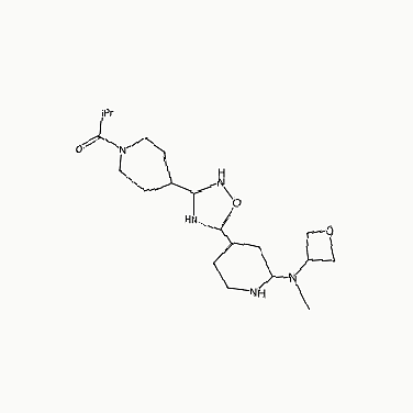 CC(C)C(=O)N1CCC(C2NOC(C3CCNC(N(C)C4COC4)C3)N2)CC1